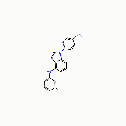 Nc1ccc(-n2ccc3c(Nc4cccc(Cl)c4)cccc32)nc1